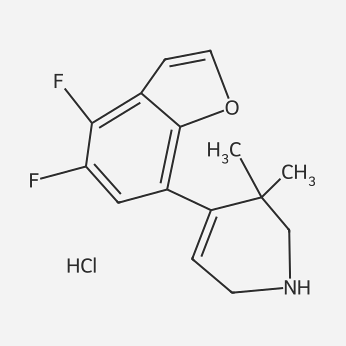 CC1(C)CNCC=C1c1cc(F)c(F)c2ccoc12.Cl